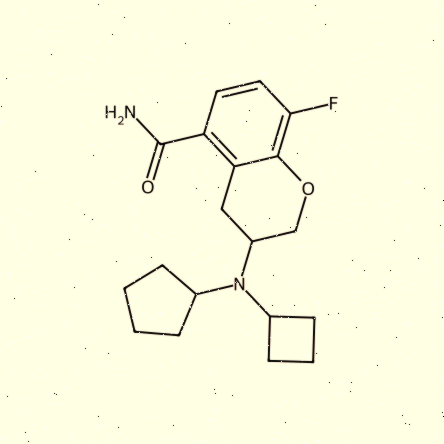 NC(=O)c1ccc(F)c2c1CC(N(C1CCCC1)C1CCC1)CO2